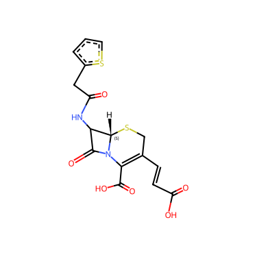 O=C(O)C=CC1=C(C(=O)O)N2C(=O)C(NC(=O)Cc3cccs3)[C@@H]2SC1